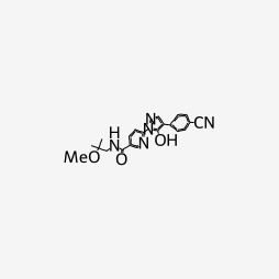 COC(C)(C)CNC(=O)c1ccc(-n2ncc(-c3ccc(C#N)cc3)c2O)nc1